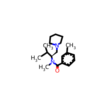 Cc1cccc(C(=O)N(C)[C@H](CN2CCCCC2)C(C)C)c1